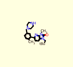 Cc1ccc(CN2CCNCC2)cc1-c1ccc2c(n1)n(C)c(=O)n2CC(C)(C)C